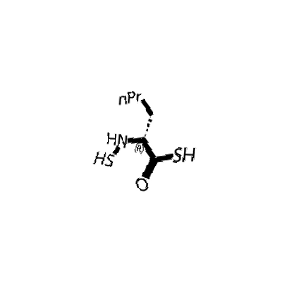 CCCC[C@@H](NS)C(=O)S